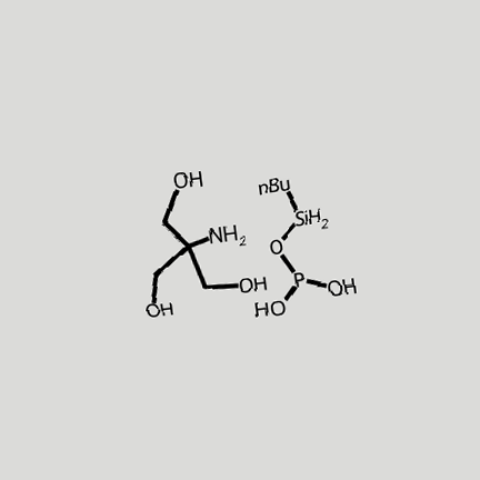 CCCC[SiH2]OP(O)O.NC(CO)(CO)CO